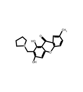 Cc1ccc2oc3cc(O)c(CN4CCCC4)c(O)c3c(=O)c2c1